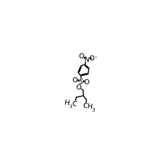 CCC(CC)COS(=O)(=O)c1ccc([N+](=O)[O-])cc1